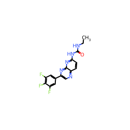 CCNC(=O)Nc1ccc2ncc(-c3cc(F)c(F)c(F)c3)nc2n1